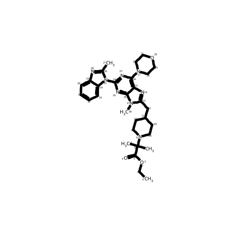 CCOC(=O)C(C)(C)N1CCC(Cc2nc3c(N4CCOCC4)nc(-n4c(C)nc5ccccc54)nc3n2C)CC1